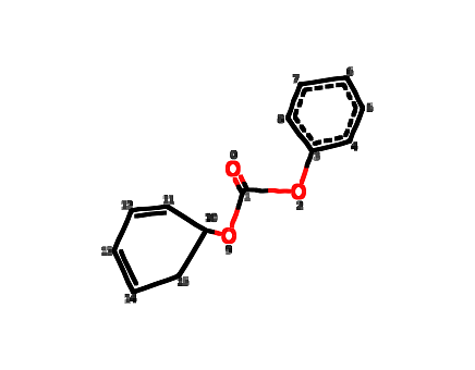 O=C(Oc1ccccc1)OC1C=CC=CC1